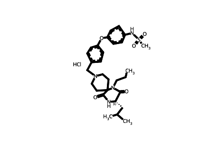 CCCN1C(=O)[C@H](CC(C)C)NC(=O)C12CCN(Cc1ccc(Oc3ccc(NS(C)(=O)=O)cc3)cc1)CC2.Cl